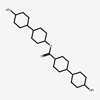 CCCC1CCC(C2CCC(OC(=O)C3CCC(C4CCC(CCC)CC4)CC3)CC2)CC1